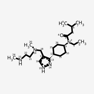 CCN(C(=O)CC(C)C)[C@H]1CC[C@H](c2n[nH]cc2CN(C)CCNC)CC1